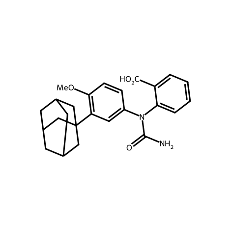 COc1ccc(N(C(N)=O)c2ccccc2C(=O)O)cc1C12CC3CC(CC(C3)C1)C2